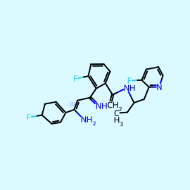 C=C(NC(CC)Cc1ncccc1F)c1cccc(F)c1C(=N)/C=C(\N)C1=CCC(F)C=C1